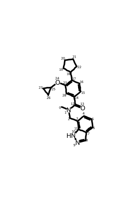 CN(Cc1cccc2cn[nH]c12)C(=O)c1ccc(C2CCCC2)c(OC2CC2)c1